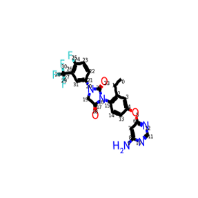 CCc1cc(Oc2cc(N)ncn2)ccc1N1C(=O)CN(c2ccc(F)c(C(F)(F)F)c2)C1=O